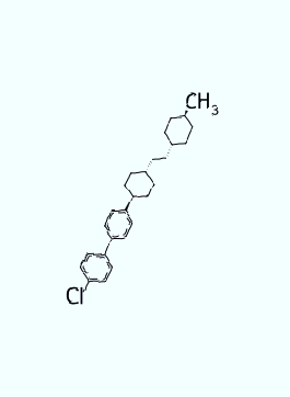 C[C@H]1CC[C@H](CC[C@H]2CC[C@H](c3ccc(-c4ccc(Cl)cc4)cc3)CC2)CC1